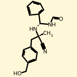 C[C@@](C#N)(Cc1ccc(CO)cc1)N[C@@H](NC=O)c1ccccc1